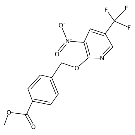 COC(=O)c1ccc(COc2ncc(C(F)(F)F)cc2[N+](=O)[O-])cc1